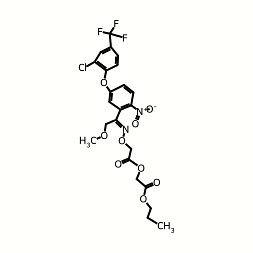 CCCOC(=O)COC(=O)CON=C(COC)c1cc(Oc2ccc(C(F)(F)F)cc2Cl)ccc1[N+](=O)[O-]